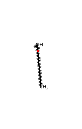 CCCCCCCCCCCCCCCCCCCC=CC=CC=CC(=O)O